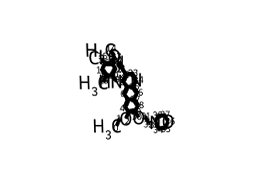 CCOc1cc2cc3c(Nc4cc(OC)c(Cl)cc4C)c(C#N)cnc3cc2cc1OCCN1CCOCC1